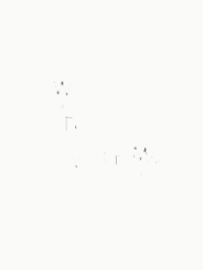 [Cr].[Fe].[Mo].[V].[W]